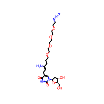 [N-]=[N+]=NCCOCCOCCOCCOCCCC(N)=CCc1cn([C@H]2C[C@H](O)[C@@H](CO)O2)c(=O)[nH]c1=O